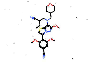 CCC(C#N)CN(CC1CCOCC1)c1c(OC)nn2c(-c3c(OC)cc(C#N)cc3OC)csc12